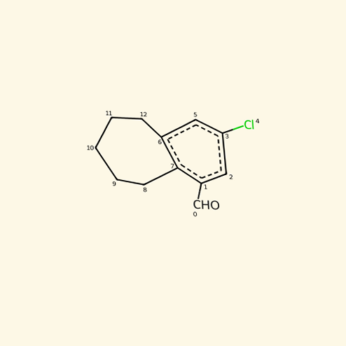 O=Cc1cc(Cl)cc2c1CCCCC2